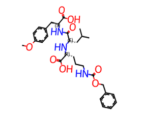 COc1ccc(C[C@H](NC(=O)[C@H](CC(C)C)N[C@H](CCCNC(=O)OCc2ccccc2)C(=O)O)C(=O)O)cc1